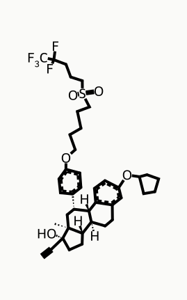 C#C[C@]1(O)CC[C@H]2[C@@H]3CCc4cc(OC5CCCC5)ccc4[C@H]3[C@@H](c3ccc(OCCCCCS(=O)(=O)CCCC(F)(F)C(F)(F)F)cc3)C[C@@]21C